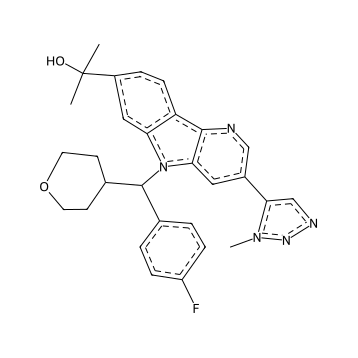 Cn1nncc1-c1cnc2c3ccc(C(C)(C)O)cc3n(C(c3ccc(F)cc3)C3CCOCC3)c2c1